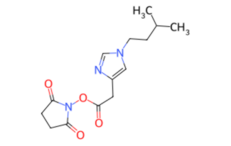 CC(C)CCn1cnc(CC(=O)ON2C(=O)CCC2=O)c1